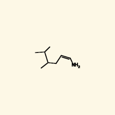 CC(C)C(C)C/C=C\N